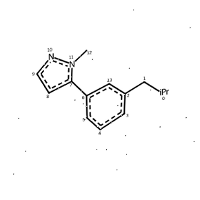 CC(C)Cc1cccc(-c2ccnn2C)c1